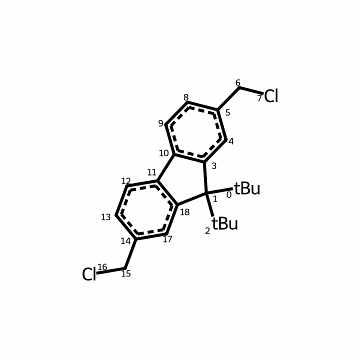 CC(C)(C)C1(C(C)(C)C)c2cc(CCl)ccc2-c2ccc(CCl)cc21